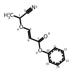 CC(C#N)OC=CC(=O)Oc1ccccc1